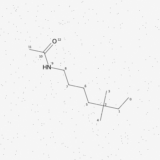 CCC(C)(C)CCCCNC(C)=O